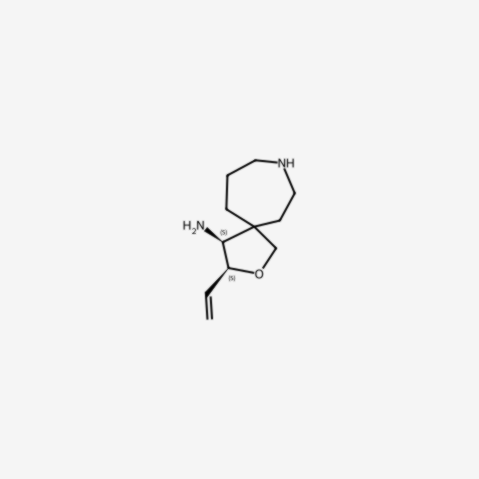 C=C[C@@H]1OCC2(CCCNCC2)[C@@H]1N